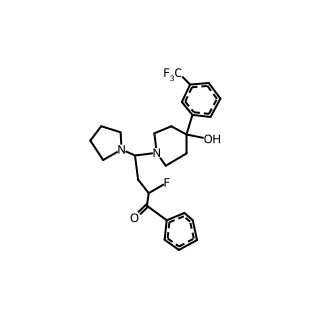 O=C(c1ccccc1)C(F)CC(N1CCCC1)N1CCC(O)(c2cccc(C(F)(F)F)c2)CC1